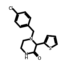 O=C1NCCN(Cc2ccc(Cl)cc2)C1c1cccs1